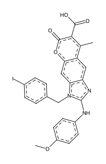 COc1ccc(Nc2nc3cc4c(C)c(C(=O)O)c(=O)oc4cc3n2Cc2ccc(I)cc2)cc1